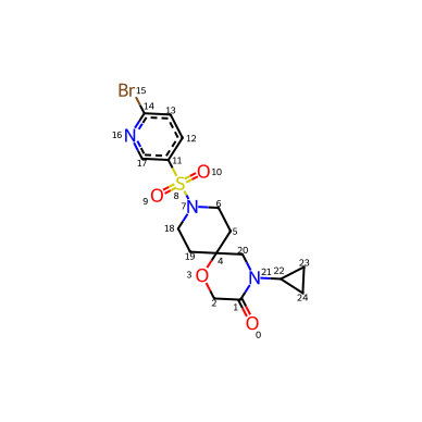 O=C1COC2(CCN(S(=O)(=O)c3ccc(Br)nc3)CC2)CN1C1CC1